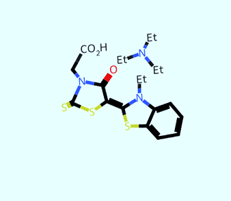 CCN(CC)CC.CCN1C(=C2SC(=S)N(CC(=O)O)C2=O)Sc2ccccc21